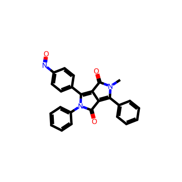 CN1C(=O)C2=C(c3ccc(N=O)cc3)N(c3ccccc3)C(=O)C2=C1c1ccccc1